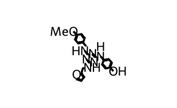 COc1ccc(CNc2nc(NCc3ccco3)nc(Nc3ccc(O)cc3)n2)cc1